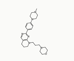 CN1CCN(c2ccc(-c3ncc4c(n3)N(CCCN3CCOCC3)CCC4)cc2)CC1